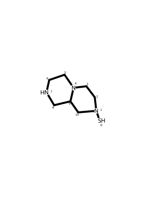 SN1CCN2CCNCC2C1